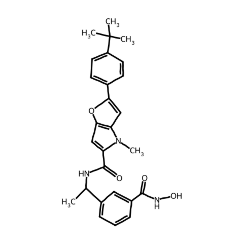 CC(NC(=O)c1cc2oc(-c3ccc(C(C)(C)C)cc3)cc2n1C)c1cccc(C(=O)NO)c1